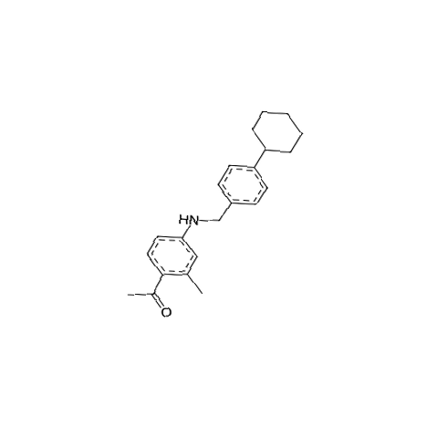 CC(=O)c1ccc(NCc2ccc(C3CCCCC3)cc2)cc1C